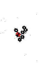 c1ccc(-c2cccc(N(c3ccc4c(c3)oc3ccc5ccccc5c34)c3cccc4c5ccccc5n(-c5ccccc5)c34)c2)cc1